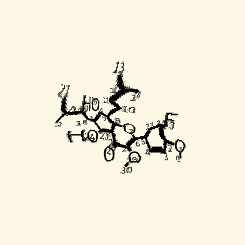 COc1ccc(-c2oc3c(CC=C(C)C)c(O)c(CC=C(C)C)c(O)c3c(=O)c2OC)cc1F